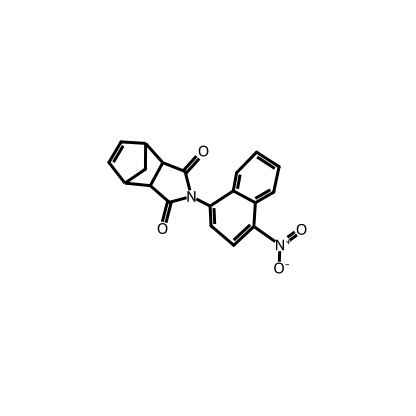 O=C1C2C3C=CC(C3)C2C(=O)N1c1ccc([N+](=O)[O-])c2ccccc12